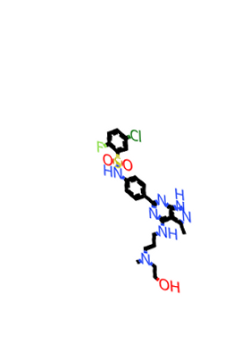 Cc1n[nH]c2nc(-c3ccc(NS(=O)(=O)c4cc(Cl)ccc4F)cc3)nc(NCCCN(C)CCO)c12